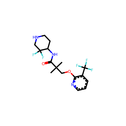 CC(C)(COc1ncccc1C(F)(F)F)C(=O)NC1CCNCC1(F)F